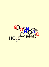 COC(=O)N1c2ccc3c(nc([C@@H](C)OC4CCOCC4)n3C3CCC(C(=O)O)CC3)c2CC[C@@H]1C